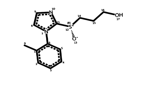 Cc1ccccc1-n1ccnc1[S@@+]([O-])CCCO